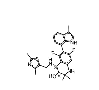 Cc1nc(C)c(CN[C@@H]2c3c(cc(F)c(-c4cccc5c(C)c[nH]c45)c3F)NC(C)(C)[C@H]2O)s1